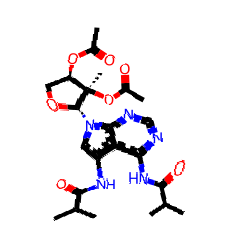 CC(=O)O[C@@H]1CO[C@@H](n2cc(NC(=O)C(C)C)c3c(NC(=O)C(C)C)ncnc32)[C@]1(C)OC(C)=O